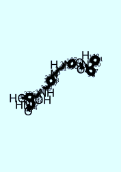 O=C(Nc1ccccc1-c1ccccc1)OC1CCN(CCCCNc2ccc(CCNC[C@H](O)c3ccc(O)c4[nH]c(=O)ccc34)cc2)CC1